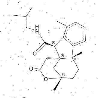 Cc1cccc2c1[C@H](C(=O)NCC(C)C)[C@@]13CC(=O)O[C@@](C)(CC[C@@]21C)C3